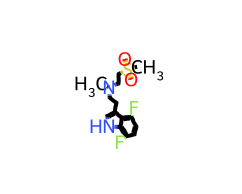 CN(CCc1c[nH]c2c(F)ccc(F)c12)CCS(C)(=O)=O